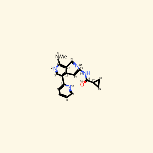 CNc1ncc(-c2ccccn2)c2cc(NC(=O)C3CC3)ncc12